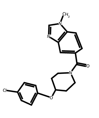 Cn1cnc2cc(C(=O)N3CCC(Oc4ccc(Cl)cc4)CC3)ccc21